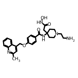 Cc1cc(COc2ccc(C(=O)NC3(CC(=O)NO)CCN(CCN)CC3)cc2)c2ccccc2n1